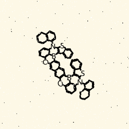 c1cc2c(c(N3c4cccc5c4B(c4cc6cc7c(cc6cc4O5)Oc4cccc5c4B7c4c(sc6ccccc46)N5c4cccc5c4CCCC5)c4c3sc3ccccc43)c1)CCCC2